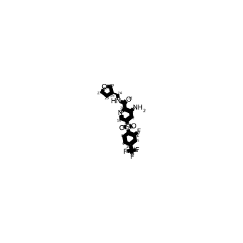 Nc1cc(S(=O)(=O)c2ccc(C(F)(F)F)cc2F)cnc1C(=O)NC[C@H]1CCOC1